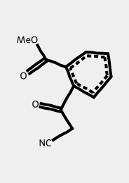 COC(=O)c1ccccc1C(=O)CC#N